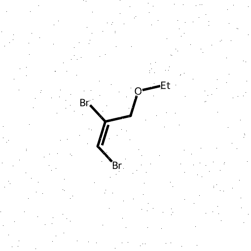 CCOC/C(Br)=C\Br